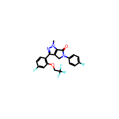 Cn1nc(-c2ccc(F)cc2OCC(F)(F)F)c2c1C(=O)N(c1ccc(F)cc1)C2